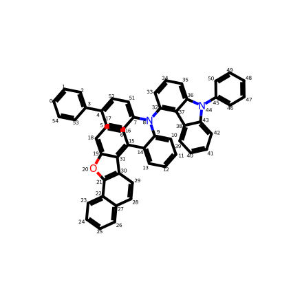 c1ccc(-c2ccc(N(c3ccccc3-c3cccc4oc5c6ccccc6ccc5c34)c3cccc4c3c3ccccc3n4-c3ccccc3)cc2)cc1